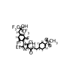 CCc1nc(C(=O)NCC2CCC(S(C)(=O)=O)CC2)c(Cl)n1-c1c(F)cc(CC(O)(C(F)(F)F)C(F)(F)F)cc1F